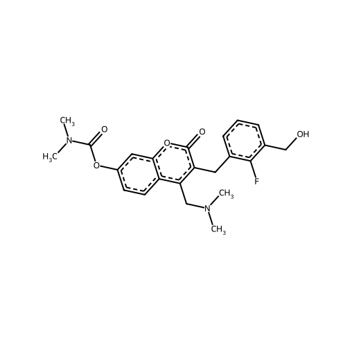 CN(C)Cc1c(Cc2cccc(CO)c2F)c(=O)oc2cc(OC(=O)N(C)C)ccc12